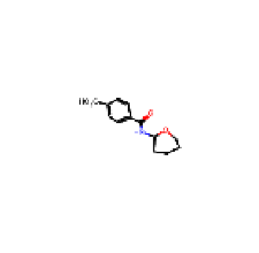 O=C(O)c1ccc(C(=O)NC2CCCCO2)cc1